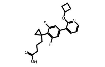 O=C(O)CCCC1(c2c(F)cc(-c3cccnc3OC3CCC3)cc2F)CC1